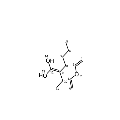 C=COC=C.CCCCC(CC)=C(O)O